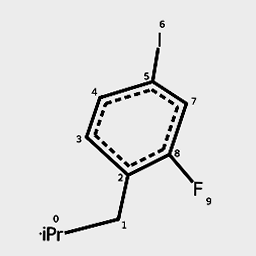 C[C](C)Cc1ccc(I)cc1F